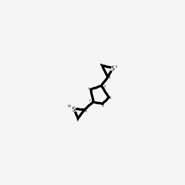 C1CC(C2CS2)CC1C1CS1